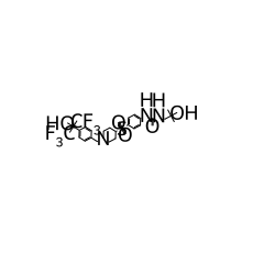 CC(C)(O)CNC(=O)Nc1ccc(S(=O)(=O)C2CCN(Cc3ccc(C(O)(C(F)(F)F)C(F)(F)F)cc3)CC2)cc1